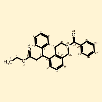 CCOC(=O)CC(c1ccccc1)c1cccc2c1CCN(C(=O)c1ccccc1)C2